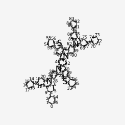 c1ccc(-c2ccc3c(c2)c2cc(-c4ccccc4)ccc2n3-c2ccc3c(c2)c2c4sc5ccccc5c4cc4c5cc6c(cc5n3c42)c2cc3c4ccccc4sc3c3c4cc(-n5c7ccc(-c8ccccc8)cc7c7cc(-c8ccccc8)ccc75)ccc4n6c23)cc1